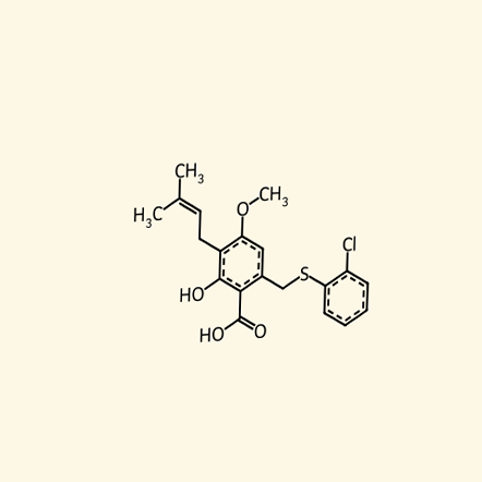 COc1cc(CSc2ccccc2Cl)c(C(=O)O)c(O)c1CC=C(C)C